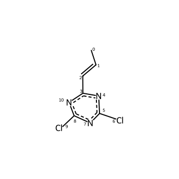 CC=Cc1nc(Cl)nc(Cl)n1